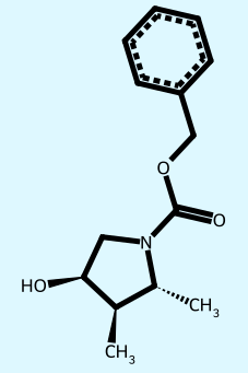 C[C@@H]1[C@@H](C)N(C(=O)OCc2ccccc2)C[C@@H]1O